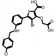 O=C(O)COc1c(C(=O)O)sc(-c2cccc(NCc3ccc(Cl)cc3)c2)c1Br